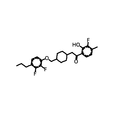 CCCc1ccc(OCC2CCC(CC(=O)c3ccc(C)c(F)c3O)CC2)c(F)c1F